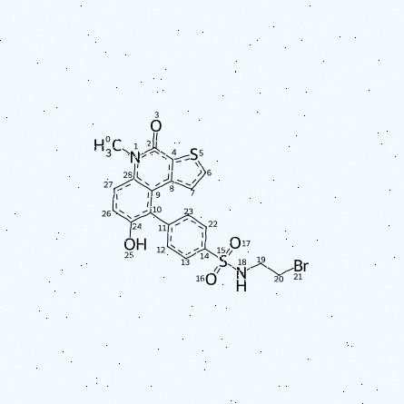 Cn1c(=O)c2sccc2c2c(-c3ccc(S(=O)(=O)NCCBr)cc3)c(O)ccc21